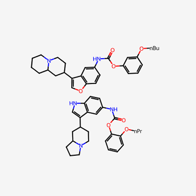 CCCCOc1cccc(OC(=O)Nc2ccc3occ(C4CCN5CCCCC5C4)c3c2)c1.CCCOc1ccccc1OC(=O)Nc1ccc2[nH]cc(C3CCN4CCCC4C3)c2c1